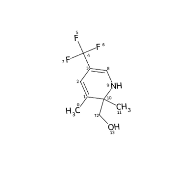 CC1=CC(C(F)(F)F)=CNC1(C)CO